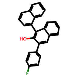 Oc1c(-c2ccc(F)cc2)cc2ccccc2c1-c1cccc2ccccc12